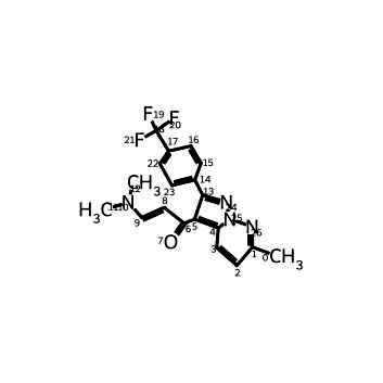 Cc1ccc2c(C(=O)/C=C/N(C)C)c(-c3ccc(C(F)(F)F)cc3)nn2n1